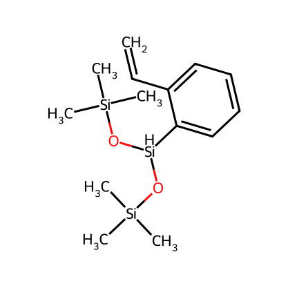 C=Cc1ccccc1[SiH](O[Si](C)(C)C)O[Si](C)(C)C